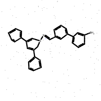 Bc1cccc(-c2cccc(/C=N/N3C=C(c4ccccc4)C=C(c4ccccc4)C3)c2)c1